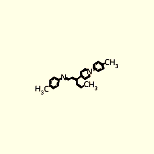 C\C=C/C(=C\C=N\c1ccc(C)cc1)c1cc[n+](-c2ccc(C)cc2)cc1